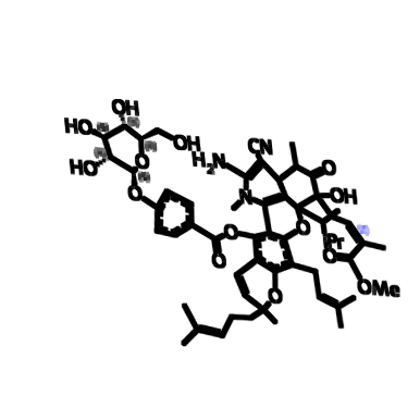 COC(=O)/C(C)=C\CC1(O)C(=O)C(C)C2C(C#N)=C(N)N(C)C3=C2C1(C(C)C(C)C)Oc1c(CC=C(C)C)c2c(c(OC(=O)c4ccc(O[C@@H]5O[C@H](CO)[C@@H](O)[C@H](O)[C@H]5O)cc4)c13)C=CC(C)(CCC=C(C)C)O2